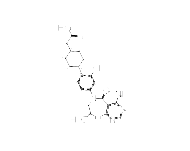 Cc1cc(N2CC(C)Oc3ncnc(N)c3C2=O)ccc1C1CCC(CC(=O)O)CC1